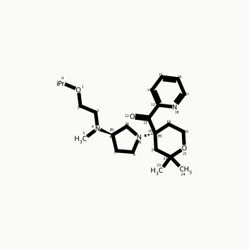 CC(C)OCCN(C)[C@@H]1CCN([C@]2(C(=O)c3ccccn3)CCOC(C)(C)C2)C1